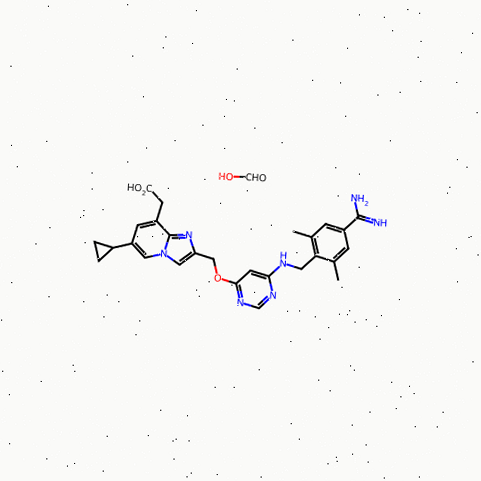 Cc1cc(C(=N)N)cc(C)c1CNc1cc(OCc2cn3cc(C4CC4)cc(CC(=O)O)c3n2)ncn1.O=CO